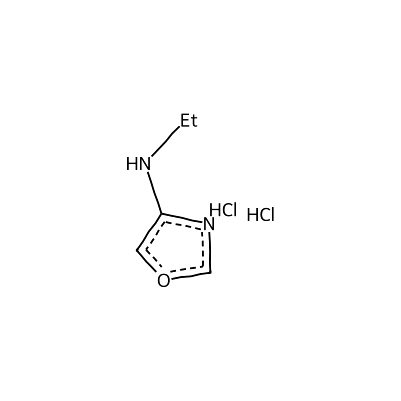 CCNc1cocn1.Cl.Cl